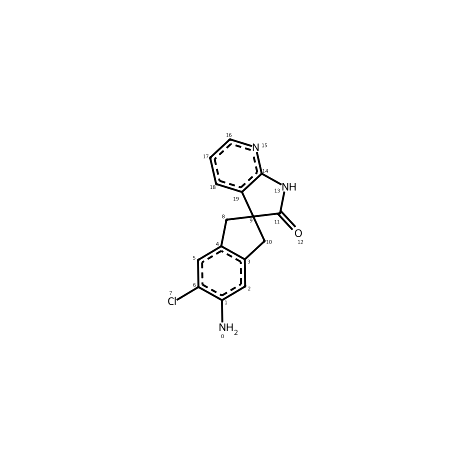 Nc1cc2c(cc1Cl)CC1(C2)C(=O)Nc2ncccc21